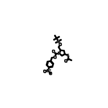 CC(=O)SC1CC(CO[Si](C)(C)C(C)(C)C)N(C(=O)OCc2ccc([N+](=O)[O-])cc2)C1